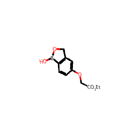 CCOC(=O)COc1ccc2c(c1)COB2O